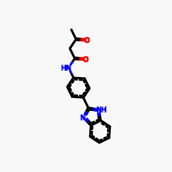 CC(=O)CC(=O)Nc1ccc(-c2nc3ccccc3[nH]2)cc1